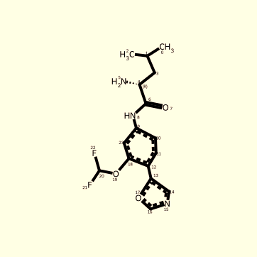 CC(C)C[C@@H](N)C(=O)Nc1ccc(-c2cnco2)c(OC(F)F)c1